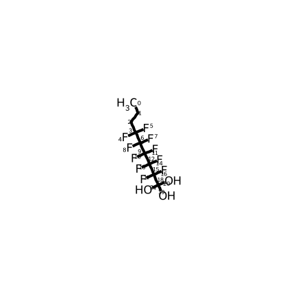 CCCC(F)(F)C(F)(F)C(F)(F)C(F)(F)C(F)(F)C(O)(O)O